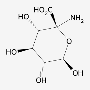 N[C@]1(C(=O)O)O[C@@H](O)[C@H](O)[C@@H](O)[C@@H]1O